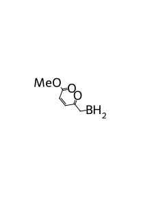 BCC(=O)/C=C\C(=O)OC